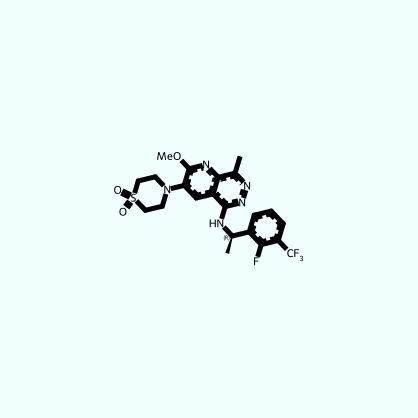 COc1nc2c(C)nnc(N[C@H](C)c3cccc(C(F)(F)F)c3F)c2cc1N1CCS(=O)(=O)CC1